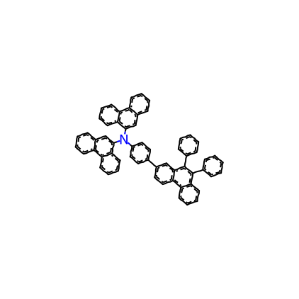 c1ccc(-c2c(-c3ccccc3)c3cc(-c4ccc(N(c5cc6ccccc6c6ccccc56)c5cc6ccccc6c6ccccc56)cc4)ccc3c3ccccc23)cc1